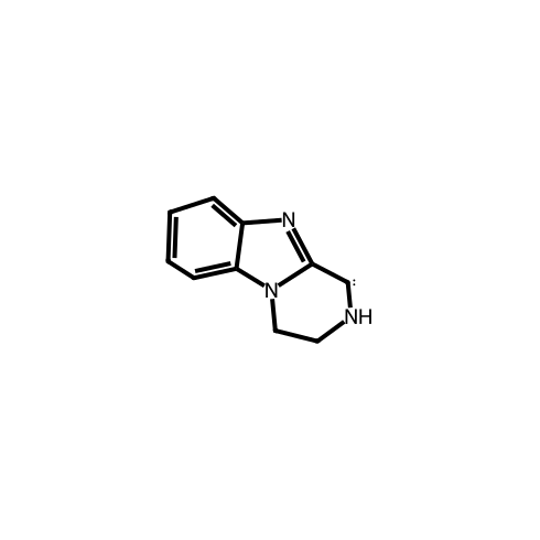 [C]1NCCn2c1nc1ccccc12